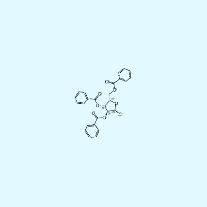 O=C(OC[C@@H]1O[C@@H](Cl)[C@@H](OC(=O)c2ccccc2)[C@@H]1OC(=O)c1ccccc1)c1ccccc1